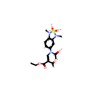 CCOC(=O)/C(=C/N(C(C)=O)c1ccc2c(c1)N(C)S(=O)(=O)N2C)C(C)=O